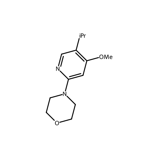 COc1cc(N2CCOCC2)ncc1C(C)C